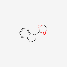 c1ccc2c(c1)CCC2C1OCCO1